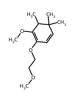 COCCOC1=C(OC)C(C)C(C)(C)C=C1